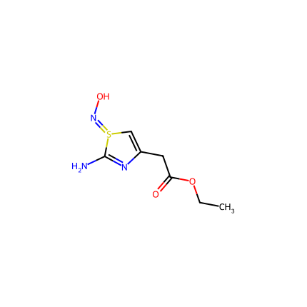 CCOC(=O)CC1=CS(=NO)C(N)=N1